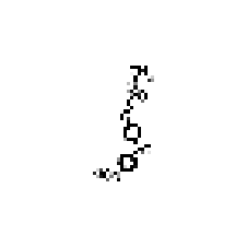 CCOC(=O)CCOc1ccc(C(=O)c2ccc(N=C=O)cc2)cc1